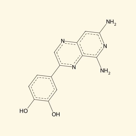 Nc1cc2ncc(-c3ccc(O)c(O)c3)nc2c(N)n1